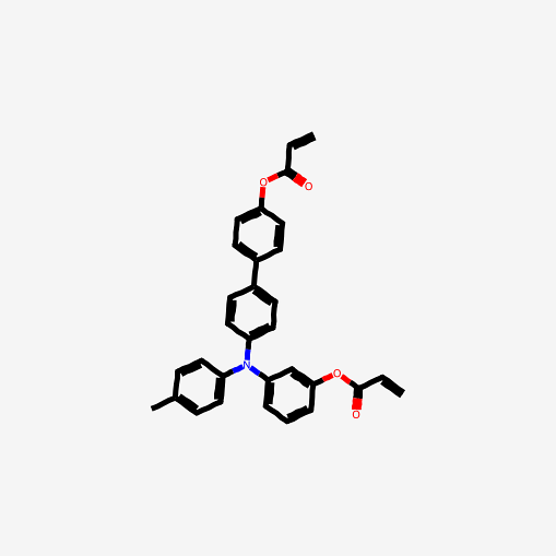 C=CC(=O)Oc1ccc(-c2ccc(N(c3ccc(C)cc3)c3cccc(OC(=O)C=C)c3)cc2)cc1